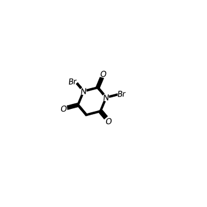 O=C1CC(=O)N(Br)C(=O)N1Br